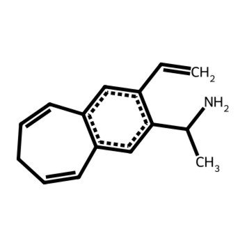 C=Cc1cc2c(cc1C(C)N)C=CCC=C2